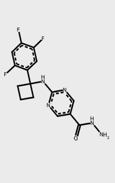 NNC(=O)c1cnc(NC2(c3cc(F)c(F)cc3F)CCC2)nc1